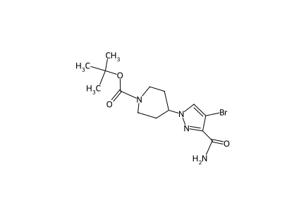 CC(C)(C)OC(=O)N1CCC(n2cc(Br)c(C(N)=O)n2)CC1